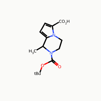 CC1c2ccc(C(=O)O)n2CCN1C(=O)OC(C)(C)C